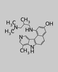 Cc1cncc2c1[nH]c1ccc3cc(O)cc(NCC(C)CN(C)C)c3c12